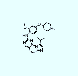 COc1cc(OC2CCN(C)CC2)ccc1Nc1ncc2ccc3ncc(C(C)C)n3c2n1